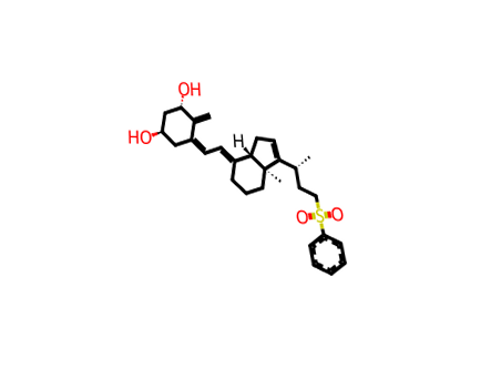 C=C1/C(=C\C=C2/CCC[C@]3(C)C([C@H](C)CCS(=O)(=O)c4ccccc4)=CC[C@@H]23)C[C@@H](O)C[C@@H]1O